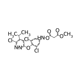 COC(=O)CC(=O)ONc1cc(Cl)c(Oc2cc(C(C)C)c(Cl)nn2)c(Cl)c1